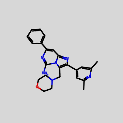 Cc1cc(-c2nc3cc(-c4ccccc4)nc(N)n3c2CN2CCOCC2)cc(C)n1